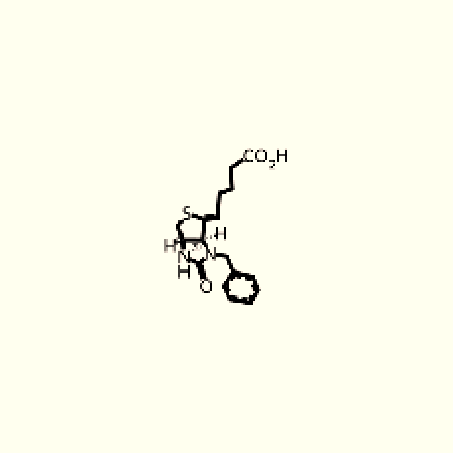 O=C(O)CCCC=C1SC[C@@H]2NC(=O)N(Cc3ccccc3)[C@H]12